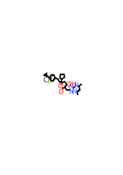 Cc1cc(C)n2nc(CC3=C(O)CC(CCc4ccc(C5(C#N)CC5)c(F)c4)(C4CCCC4)OC3=O)nc2n1